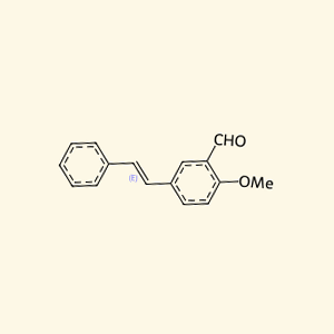 COc1ccc(/C=C/c2ccccc2)cc1C=O